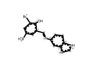 Bc1cc(Br)c(O)c(/C=N/c2ccc3[nH]cnc3c2)c1